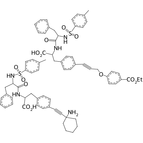 CCOC(=O)c1ccc(OCC#Cc2ccc(CC(NC(=O)C(Cc3ccccc3)NS(=O)(=O)c3ccc(C)cc3)C(=O)O)cc2)cc1.Cc1ccc(S(=O)(=O)NC(Cc2ccccc2)C(=O)NC(Cc2ccc(C#CC3(N)CCCCC3)cc2)C(=O)O)cc1